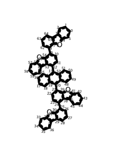 c1ccc2c(c1)oc1c(-c3ccc(-c4c5ccccc5c(-c5ccc(-c6cccc7c6oc6ccccc67)c6c5oc5ccccc56)c5ccccc45)c4c3oc3ccccc34)cccc12